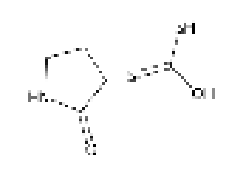 O=C1CCCN1.OC(=S)S